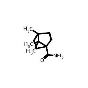 CC12C[CH]C(C(N)=O)(CC1)C2(C)C